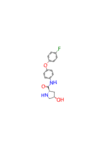 O=C(Nc1ccc(Oc2ccc(F)cc2)cc1)[C@H]1C[C@@H](O)CN1